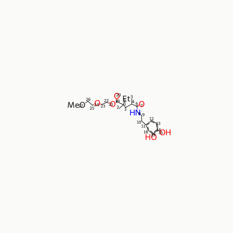 CCC(C)(CC(C)C(=O)NCCc1ccc(O)c(O)c1)C(=O)OCCOCCOC